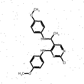 COc1ccc(Nc2nc(Cl)ncc2C(C)Nc2ccc(OC)cc2)cc1